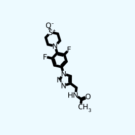 CC(=O)NCc1cn(-c2cc(F)c(N3CC[S+]([O-])CC3)c(F)c2)nn1